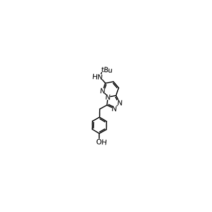 CC(C)(C)Nc1ccc2nnc(Cc3ccc(O)cc3)n2n1